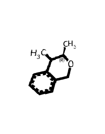 CC1c2ccccc2CO[C@@H]1C